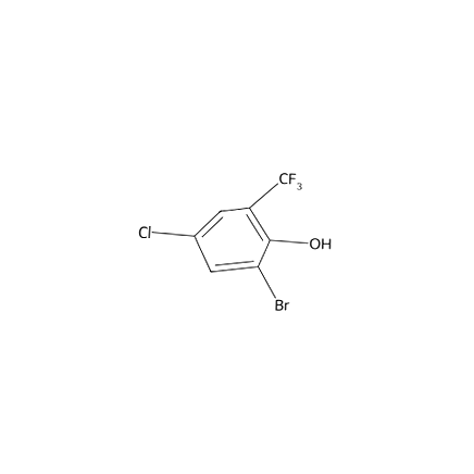 Oc1c(Br)cc(Cl)cc1C(F)(F)F